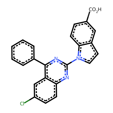 O=C(O)c1ccc2c(ccn2-c2nc(-c3ccccc3)c3cc(Cl)ccc3n2)c1